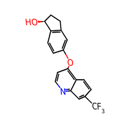 O[C@H]1CCc2cc(Oc3ccnc4cc(C(F)(F)F)ccc34)ccc21